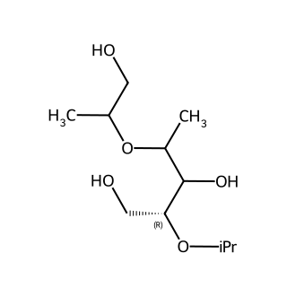 CC(C)O[C@H](CO)C(O)C(C)OC(C)CO